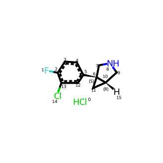 Cl.Fc1ccc([C@@]23CNC[C@@H]2C3)cc1Cl